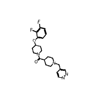 O=C(C1CCN(Cc2ccnnc2)CC1)N1CCC(Oc2cccc(F)c2F)CC1